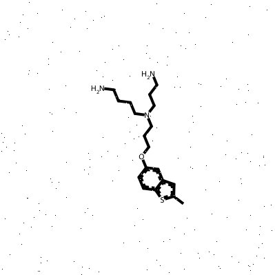 Cc1cc2cc(OCCCN(CCCN)CCCCN)ccc2s1